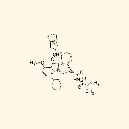 COc1ccc(C2CCCCC2)c2c1cc1n2CC2=C(C(=O)NS(=O)(=O)C(C)C)C2=C2C=CC[C@@H](C(=O)C3CC45CCCC4(C3)CN(C)C5)[C@@H]21